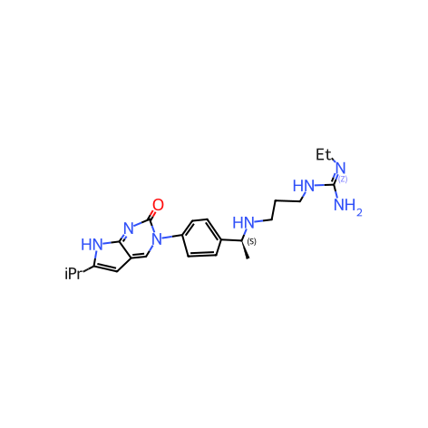 CC/N=C(/N)NCCCN[C@@H](C)c1ccc(-n2cc3cc(C(C)C)[nH]c3nc2=O)cc1